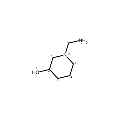 NCN1CCCC(O)C1